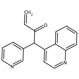 C=CC(=O)C(c1cccnc1)c1ccnc2ccccc12